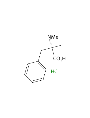 CN[C@@](C)(Cc1ccccc1)C(=O)O.Cl